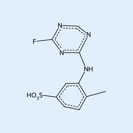 Cc1ccc(S(=O)(=O)O)cc1Nc1n[c]nc(F)n1